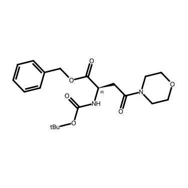 CC(C)(C)OC(=O)N[C@H](CC(=O)N1CCOCC1)C(=O)OCc1ccccc1